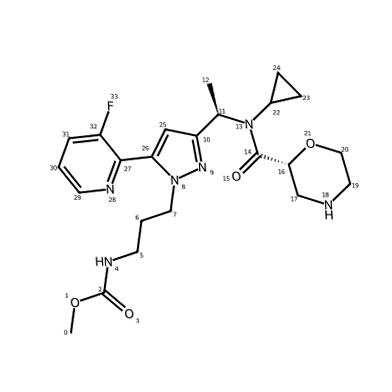 COC(=O)NCCCn1nc([C@@H](C)N(C(=O)[C@H]2CNCCO2)C2CC2)cc1-c1ncccc1F